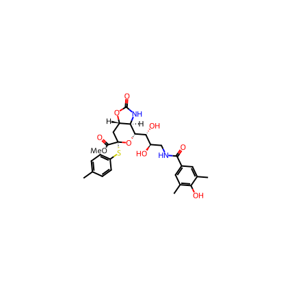 COC(=O)[C@@]1(Sc2ccc(C)cc2)C[C@@H]2OC(=O)N[C@H]2[C@H]([C@H](O)[C@H](O)CNC(=O)c2cc(C)c(O)c(C)c2)O1